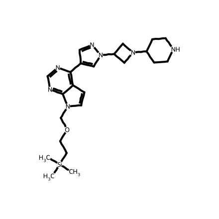 C[Si](C)(C)CCOCn1ccc2c(-c3cnn(C4CN(C5CCNCC5)C4)c3)ncnc21